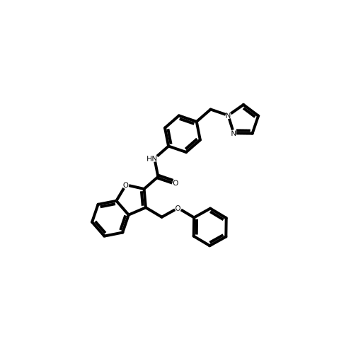 O=C(Nc1ccc(Cn2cccn2)cc1)c1oc2ccccc2c1COc1ccccc1